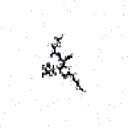 C#C/C(=C\C=C(/C)C(=O)OCC)c1nc(CCCOC)cnc1OS(=O)(=O)C(F)(F)F